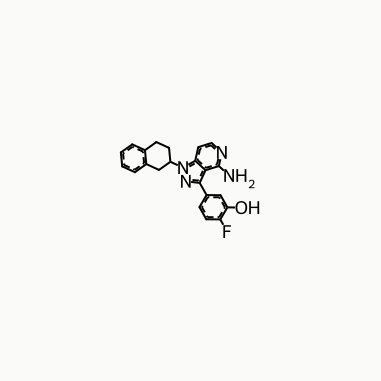 Nc1nccc2c1c(-c1ccc(F)c(O)c1)nn2C1CCc2ccccc2C1